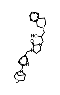 O=C1N(Cc2ccc(N3C4COCC3C4)nc2)CCN1CC(O)CN1CCc2ccccc2C1